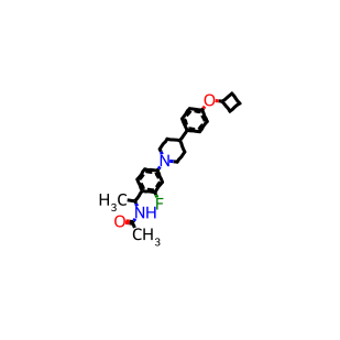 CC(=O)NC(C)c1ccc(N2CCC(c3ccc(OC4CCC4)cc3)CC2)cc1F